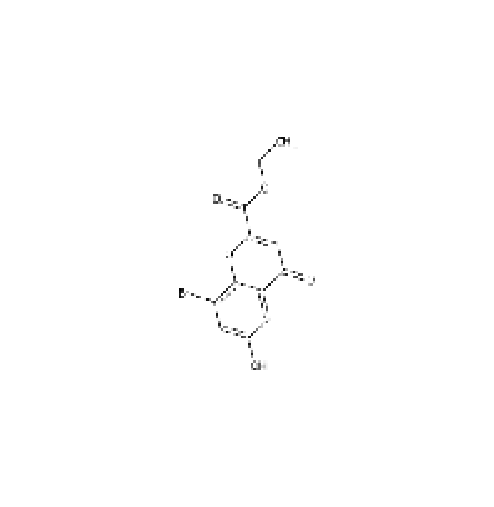 CCOC(=O)c1cc(=O)c2cc(O)cc(Br)c2o1